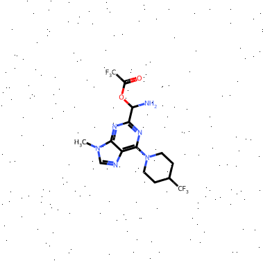 Cn1cnc2c(N3CCC(C(F)(F)F)CC3)nc(C(N)OC(=O)C(F)(F)F)nc21